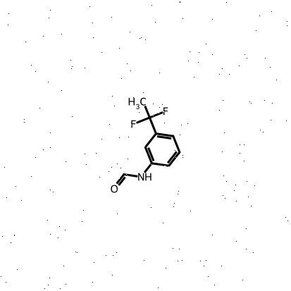 CC(F)(F)c1cccc(NC=O)c1